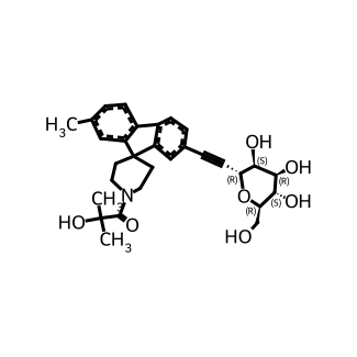 Cc1ccc2c(c1)C1(CCN(C(=O)C(C)(C)O)CC1)c1cc(C#C[C@H]3O[C@H](CO)[C@@H](O)[C@H](O)[C@@H]3O)ccc1-2